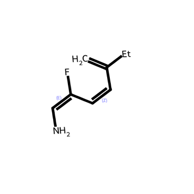 C=C(/C=C\C(F)=C/N)CC